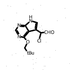 CC(C)(C)COc1ncnc2[nH]cc(C(Cl)C=O)c12